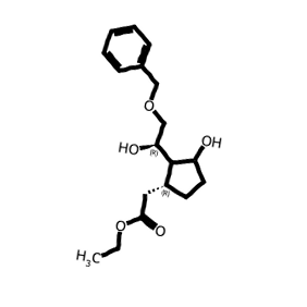 CCOC(=O)C[C@H]1CCC(O)C1[C@@H](O)COCc1ccccc1